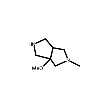 COC12CNCC1CN(C)C2